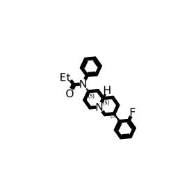 CCC(=O)N(c1ccccc1)[C@H]1CCN2C[C@H](c3ccccc3F)CC[C@H]2C1